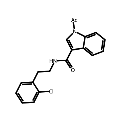 CC(=O)n1cc(C(=O)NCCc2ccccc2Cl)c2ccccc21